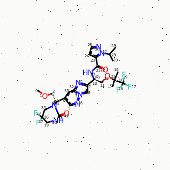 COC[C@H](c1cnn2cc([C@H](COC(C)(C)C(F)(F)F)NC(=O)c3ccnn3C(C)C)nc2c1)N1CC(F)(F)CNC1=O